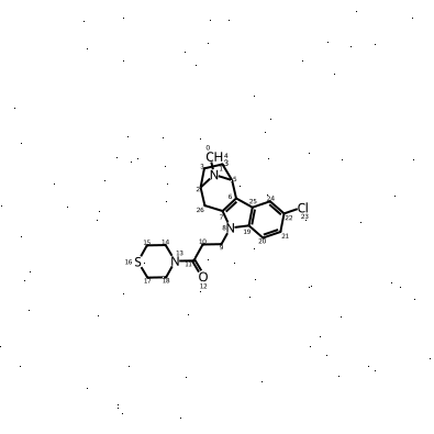 CN1C2CCC1c1c(n(CCC(=O)N3CCSCC3)c3ccc(Cl)cc13)C2